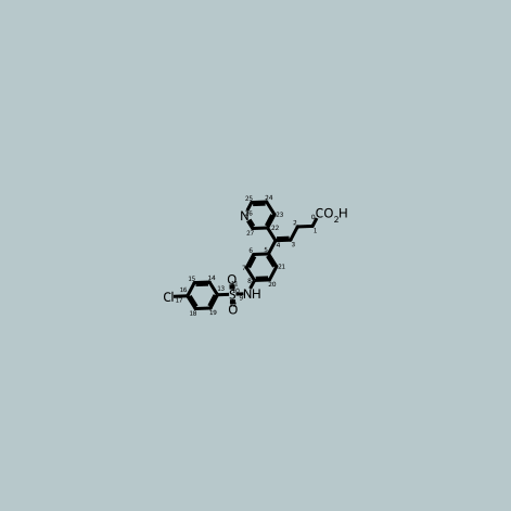 O=C(O)CCC=C(c1ccc(NS(=O)(=O)c2ccc(Cl)cc2)cc1)c1cccnc1